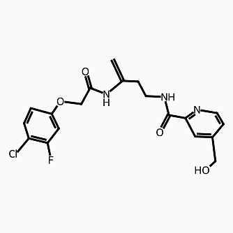 C=C(CCNC(=O)c1cc(CO)ccn1)NC(=O)COc1ccc(Cl)c(F)c1